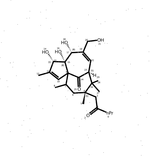 CCCC(=O)C[C@]1(C)CC(C)C23C=C(C)[C@H](O)[C@@]2(O)[C@H](O)C(CO)=C[C@H](C3=O)C1(C)C